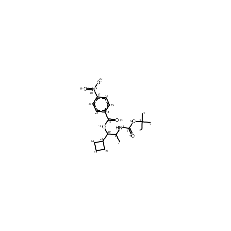 CC(NC(=O)OC(C)(C)C)C(OC(=O)c1ccc([N+](=O)[O-])cc1)C1CCC1